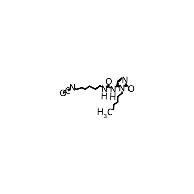 CCCCCCn1c(NC(=O)NCCCCCCN=C=O)ccnc1=O